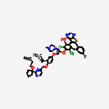 COCCOC1(c2nccc(COc3ccc(OC[C@@H](CN4CCN(C)CC4)Oc4c(Cl)c(C)c(-c5c(-c6ccc(F)cc6)sc6ncnc(O)c56)c(C)c4Cl)cc3C3C[C@H]3C(=O)O)n2)CCCC1